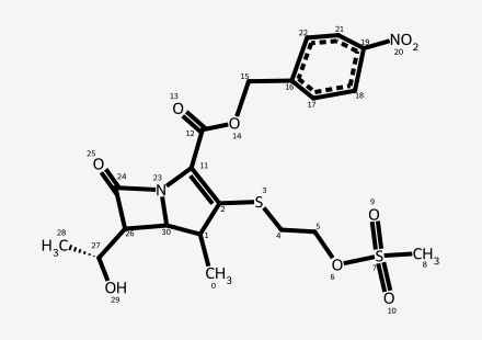 CC1C(SCCOS(C)(=O)=O)=C(C(=O)OCc2ccc([N+](=O)[O-])cc2)N2C(=O)C([C@@H](C)O)C12